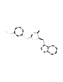 COc1cccc(NC2=NC(=O)/C(=C/c3c[nH]c4ccccc34)S2)c1